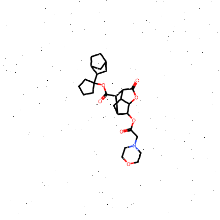 O=C(CN1CCOCC1)OC1C2CC3C1OC(=O)C3C2C(=O)OC1(C2CC3CCC2C3)CCCC1